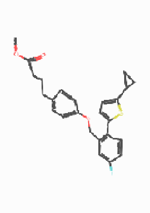 COC(=O)CCCc1ccc(OCc2cc(F)ccc2-c2ccc(C3CC3)s2)cc1